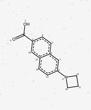 O=C(O)c1ccc2cc(N3CCC3)ccc2c1